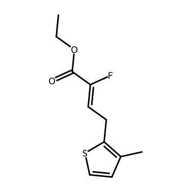 CCOC(=O)C(F)=CCc1sccc1C